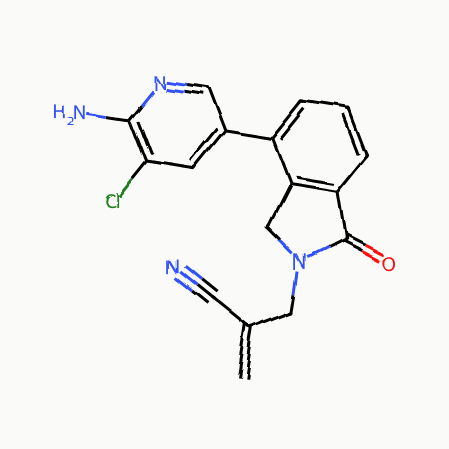 C=C(C#N)CN1Cc2c(cccc2-c2cnc(N)c(Cl)c2)C1=O